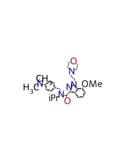 COc1cccc2c(C(=O)N(Cc3ccc(N(C)C)cc3)C(C)C)nn(CCN3CCOCC3)c12